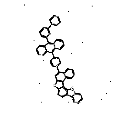 c1ccc(-c2cccc(-c3c4ccccc4c(-c4ccc(-c5cc6oc7ccc8c9ccccc9sc8c7c6c6ccccc56)cc4)c4ccccc34)c2)cc1